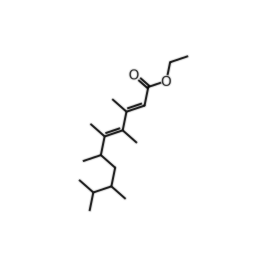 CCOC(=O)/C=C(C)/C(C)=C(\C)C(C)CC(C)C(C)C